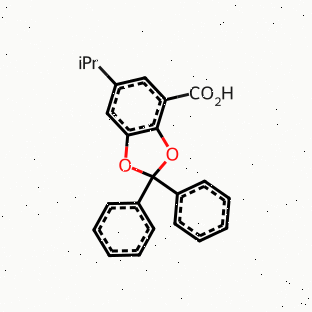 CC(C)c1cc2c(c(C(=O)O)c1)OC(c1ccccc1)(c1ccccc1)O2